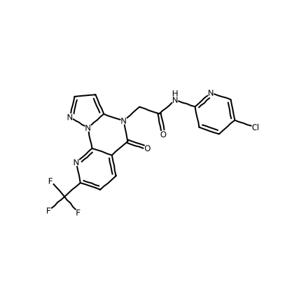 O=C(Cn1c(=O)c2ccc(C(F)(F)F)nc2n2nccc12)Nc1ccc(Cl)cn1